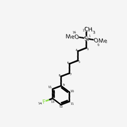 CO[Si](C)(CCCCCCc1cccc(F)c1)OC